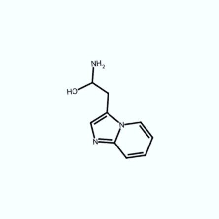 NC(O)Cc1cnc2ccccn12